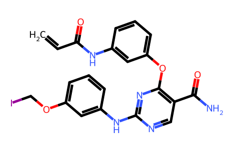 C=CC(=O)Nc1cccc(Oc2nc(Nc3cccc(OCI)c3)ncc2C(N)=O)c1